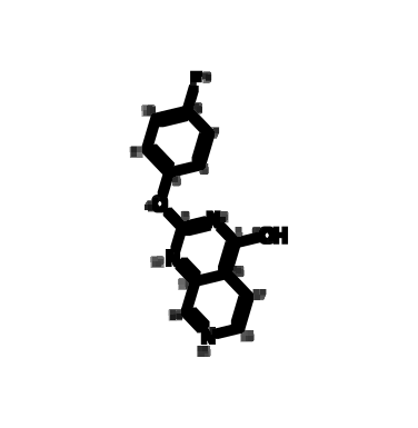 Oc1nc(Oc2ccc(F)cc2)nc2cnccc12